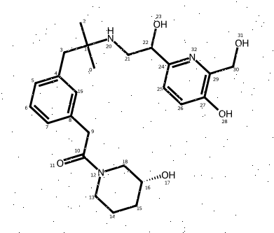 CC(C)(Cc1cccc(CC(=O)N2CCC[C@@H](O)C2)c1)NCC(O)c1ccc(O)c(CO)n1